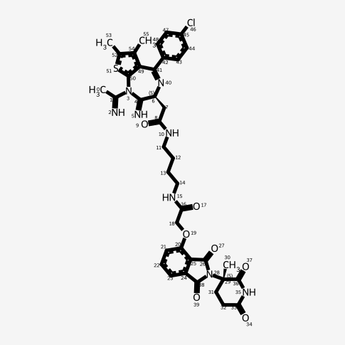 CC(=N)N1C(=N)[C@H](CC(=O)NCCCCNC(=O)COc2cccc3c2C(=O)N([C@@]2(C)CCC(=O)NC2=O)C3=O)N=C(c2ccc(Cl)cc2)c2c1sc(C)c2C